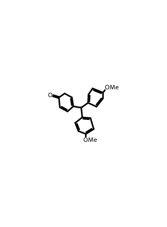 COc1ccc([C](C2=CCC(=O)C=C2)c2ccc(OC)cc2)cc1